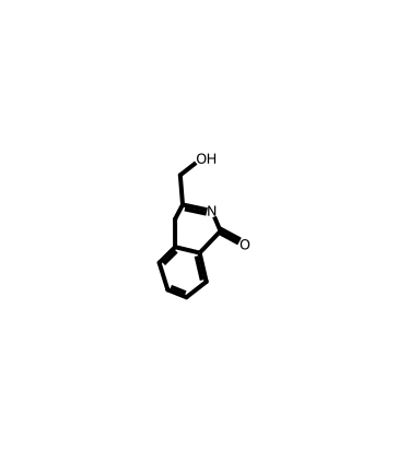 O=C1N=C(CO)Cc2ccccc21